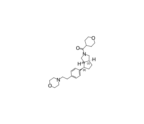 O=C(C1CCOCC1)N1C[C@H]2CC[C@@H](c3ccc(CCN4CCOCC4)cc3)[C@H]2C1